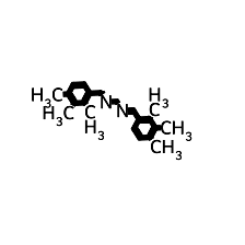 Cc1ccc(C=NCN=Cc2ccc(C)c(C)c2C)c(C)c1C